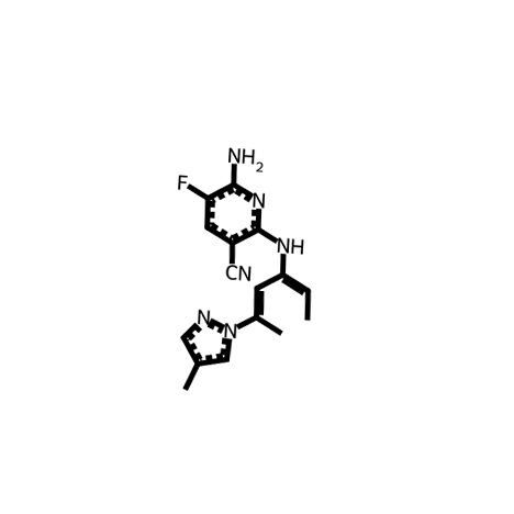 C/C=C(\C=C(/C)n1cc(C)cn1)Nc1nc(N)c(F)cc1C#N